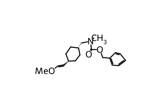 CO/C=C/[C@H]1CC[C@H](CN(C)C(=O)OCc2ccccc2)CC1